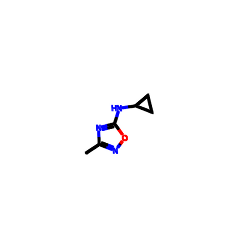 Cc1noc(NC2CC2)n1